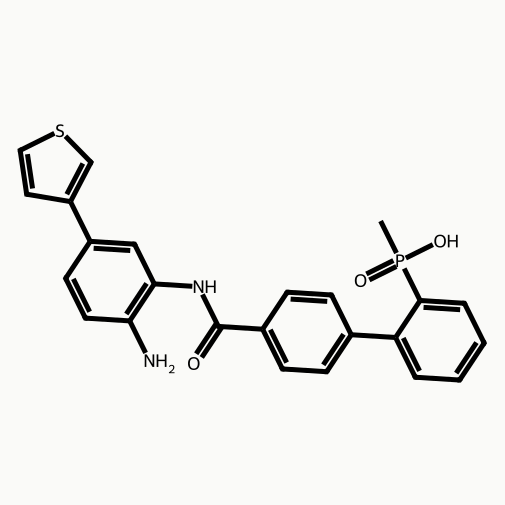 CP(=O)(O)c1ccccc1-c1ccc(C(=O)Nc2cc(-c3ccsc3)ccc2N)cc1